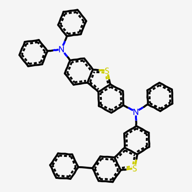 c1ccc(-c2ccc3sc4ccc(N(c5ccccc5)c5ccc6c(c5)sc5cc(N(c7ccccc7)c7ccccc7)ccc56)cc4c3c2)cc1